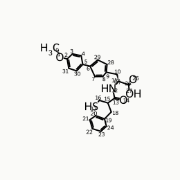 COc1ccc(-c2ccc(C[C@H](NC(=O)C(CS)Cc3ccccc3)C(=O)O)cc2)cc1